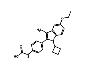 CCOc1ccc2c(c1)c(N)c(-c1ccc(NC(=O)O)cc1)n2C1CCC1